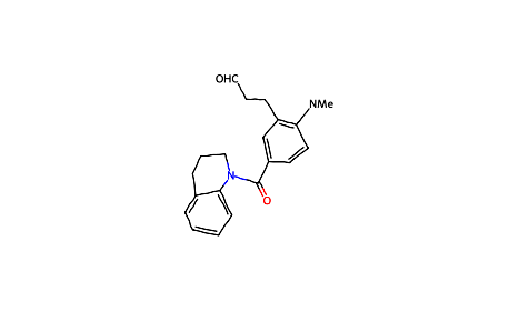 CNc1ccc(C(=O)N2CCCc3ccccc32)cc1CCC=O